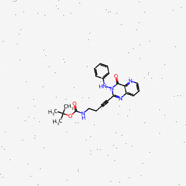 CC(C)(C)OC(=O)NCCC#Cc1nc2cccnc2c(=O)n1Nc1ccccc1